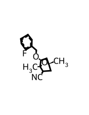 C[C@@]12CC(C#N)[C@@](C)(O1)[C@@H](OCc1ccccc1F)C2